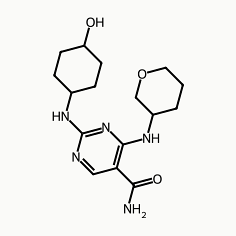 NC(=O)c1cnc(NC2CCC(O)CC2)nc1NC1CCCOC1